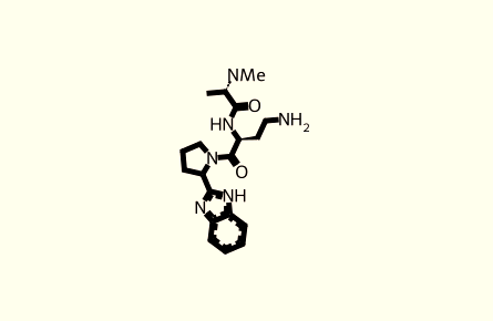 CN[C@@H](C)C(=O)N[C@@H](CCN)C(=O)N1CCCC1c1nc2ccccc2[nH]1